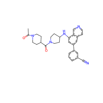 CC(=O)N1CCC(C(=O)N2CCC(Nc3cc(-c4cccc(C#N)c4)cc4ccncc34)CC2)CC1